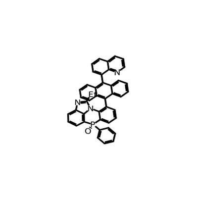 CCc1nc2cccc3c2n1-c1c(-c2c4ccccc4c(-c4cccc5cccnc45)c4ccccc24)cccc1P3(=O)c1ccccc1